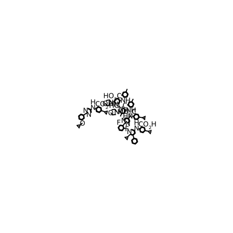 Cc1ccc(Nc2ccc(N3CCOCC3)nc2)c(C(=O)O)c1.Cc1ccc(Nc2cnc(N3CCOCC3)c(C)c2)c(C(=O)O)c1.O=C(O)c1cc(C2CC2)ccc1Nc1cnc(-c2c(F)cccc2F)nc1.O=C(O)c1cc(C2CC2)ccc1Nc1cnc(-c2cccc(OC3CC3)c2)nc1.O=C(O)c1cc(C2CC2)ccc1Nc1cnc(C2CC2)c(-c2ccccc2)c1